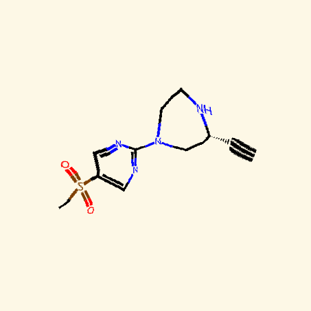 C#C[C@@H]1CN(c2ncc(S(C)(=O)=O)cn2)CCN1